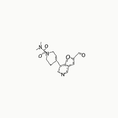 CN(C)S(=O)(=O)N1CC=C(c2cncc3cc(C=O)oc23)CC1